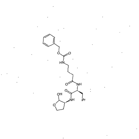 CC(C)C[C@H](NC(=O)CCCNC(=O)OCc1ccccc1)C(=O)N[C@H]1CCOC1O